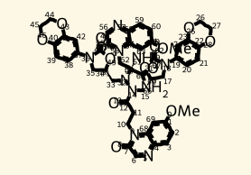 COc1ccc2ncc(=O)n(CCC(=O)N(C[C@H]3CN(c4ccc5c(c4)OCCO5)C(=O)O3)N(C[C@H]3CN(c4ccc5c(c4)OCCO5)C(=O)O3)[C@@](N)(Cn3c(=O)cnc4ccc(OC)cc43)C(N)=O)c2c1